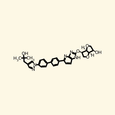 CC(C)(O)Cc1cnn(-c2ccc(-c3ccc(-c4ccc5[nH]c(O[C@@H]6CO[C@H]7[C@@H]6OC[C@H]7O)nc5n4)cc3)cc2)c1